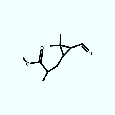 COC(=O)C(C)CC1C(C=O)C1(C)C